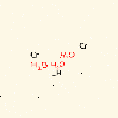 O.O.O.[Cr].[Cr].[LiH]